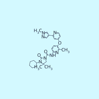 Cc1nc(NC(=O)N2CC(C)(C)N(C3CCCCC3)C2=O)ccc1Oc1ccnc(-c2cnn(C)c2)c1